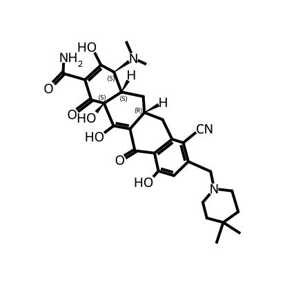 CN(C)[C@@H]1C(O)=C(C(N)=O)C(=O)[C@@]2(O)C(O)=C3C(=O)c4c(O)cc(CN5CCC(C)(C)CC5)c(C#N)c4C[C@H]3C[C@@H]12